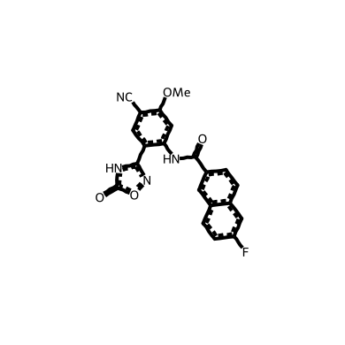 COc1cc(NC(=O)c2ccc3cc(F)ccc3c2)c(-c2noc(=O)[nH]2)cc1C#N